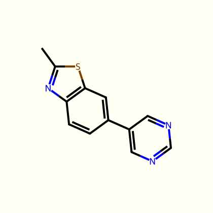 Cc1nc2ccc(-c3cncnc3)cc2s1